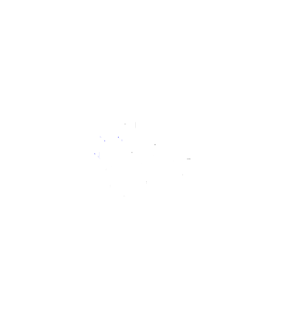 Cn1nnc2cc(Br)cc(OC3CC3)c21